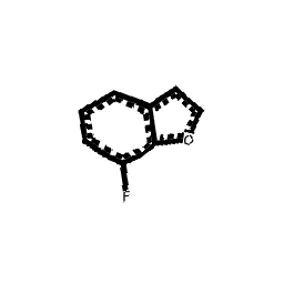 Fc1cccc2[c]coc12